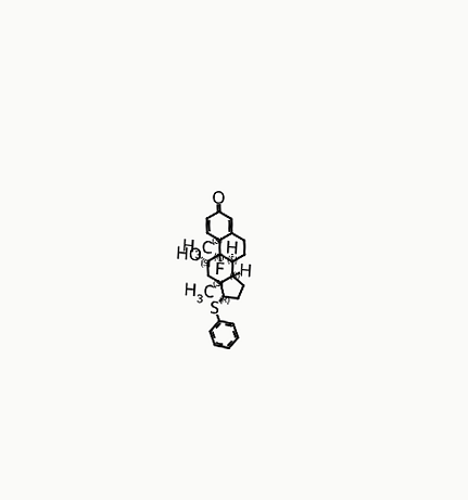 C[C@]12C[C@H](O)[C@@]3(F)[C@@H](CCC4=CC(=O)C=C[C@@]43C)[C@@H]1CC[C@H]2Sc1ccccc1